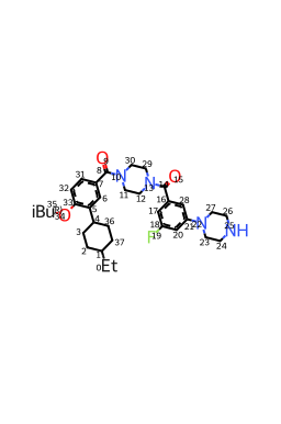 CCC1CCC(c2cc(C(=O)N3CCN(C(=O)c4cc(F)cc(N5CCNCC5)c4)CC3)ccc2O[C@H](C)CC)CC1